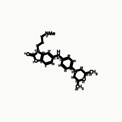 CNCCCn1c(=O)oc2ccc(Nc3ccc(N4CC(C)OC(C)C4)cc3)cc21